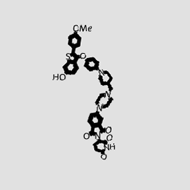 COc1ccc(-c2sc3cc(O)ccc3c2Oc2ccc(N3CCC(CN4CCN(c5ccc6c(c5)C(=O)N(C5CCC(=O)NC5=O)C6=O)CC4)CC3)cc2)cc1